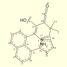 CC1(C)C=C(N)C(c2cccc3cccc(-c4nccs4)c23)=C(C(=O)O)C1=C=O